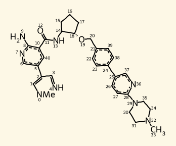 CN/C=C(\C=N)c1cnc(N)c(C(=O)NC2CCC[C@@H]2OCc2ccc(-c3ccc(N4CCN(C)CC4)nc3)cc2)c1